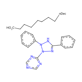 CCCCCCCCCCCCCCCCCC(=O)O.c1ccc(C2=NN(c3ncncn3)N(c3ccccc3)N2)cc1